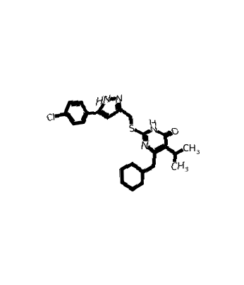 CC(C)c1c(CC2CCCCC2)nc(SCc2cc(-c3ccc(Cl)cc3)[nH]n2)[nH]c1=O